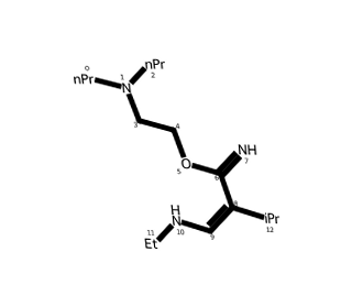 CCCN(CCC)CCOC(=N)/C(=C\NCC)C(C)C